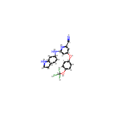 N#Cc1cc(Oc2ccc(OC(F)(F)F)cc2)cc(Nc2ccc3cc[nH]c3c2)n1